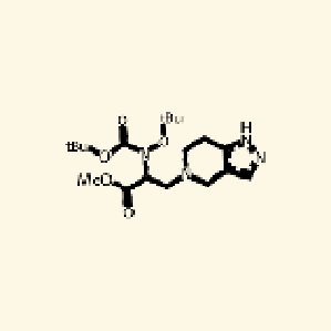 COC(=O)C(CN1CCc2[nH]ncc2C1)N(OC(C)(C)C)C(=O)OC(C)(C)C